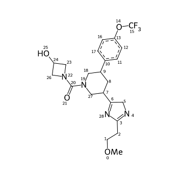 COCCC1=NCC(C2CC(c3ccc(OC(F)(F)F)cc3)CN(C(=O)N3CC(O)C3)C2)=N1